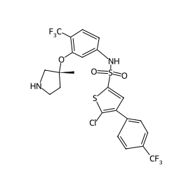 C[C@@]1(Oc2cc(NS(=O)(=O)c3cc(-c4ccc(C(F)(F)F)cc4)c(Cl)s3)ccc2C(F)(F)F)CCNC1